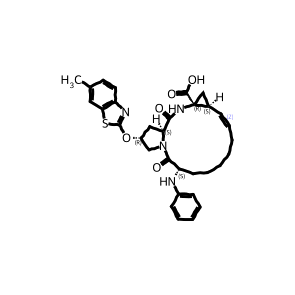 Cc1ccc2nc(O[C@@H]3C[C@H]4C(=O)N[C@]5(C(=O)O)C[C@H]5/C=C\CCCCC[C@H](Nc5ccccc5)C(=O)N4C3)sc2c1